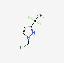 FC(F)(F)C(F)(F)c1ccn(CCl)n1